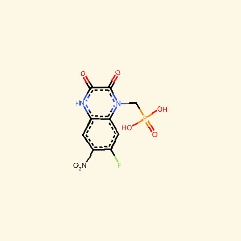 O=c1[nH]c2cc([N+](=O)[O-])c(F)cc2n(CP(=O)(O)O)c1=O